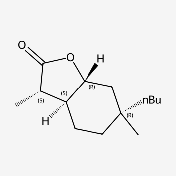 CCCC[C@]1(C)CC[C@H]2[C@H](C)C(=O)O[C@@H]2C1